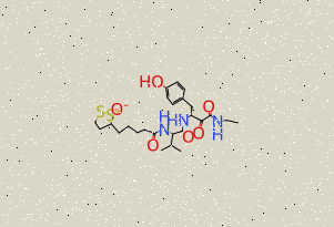 CCNC(=O)C(=O)[C@H](Cc1ccc(O)cc1)NC(=O)[C@@H](NC(=O)CCCCC1CCS[S+]1[O-])C(C)C